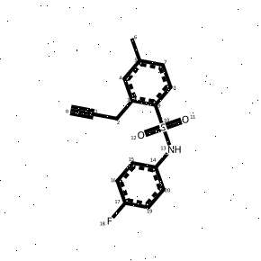 C#CCc1cc(C)ccc1S(=O)(=O)Nc1ccc(F)cc1